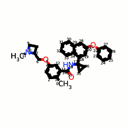 Cc1ccc(OCC2CCN2C)cc1C(=O)NC1(c2cc(Oc3ccccc3)cc3ccccc23)CC1